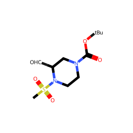 CC(C)(C)OC(=O)N1CCN(S(C)(=O)=O)C(C=O)C1